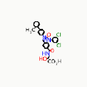 C[C@H]1CCCC=C1c1ccc(N(Cc2ccc(C(=O)NC[C@@H](O)C(=O)O)cc2)C(=O)Nc2cc(Cl)cc(Cl)c2)cc1